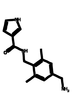 Cc1cc(CN)cc(C)c1CNC(=O)c1cc[nH]c1